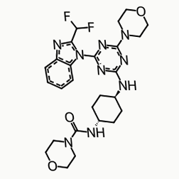 O=C(N[C@H]1CC[C@H](Nc2nc(N3CCOCC3)nc(-n3c(C(F)F)nc4ccccc43)n2)CC1)N1CCOCC1